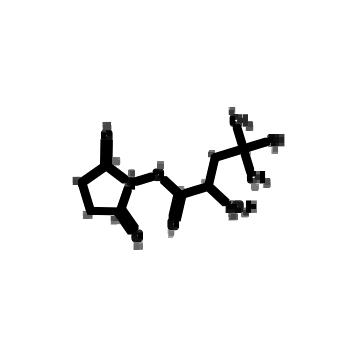 CC(C)(S)CC(C(=O)ON1C(=O)CCC1=O)S(=O)(=O)O